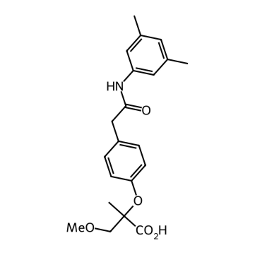 COCC(C)(Oc1ccc(CC(=O)Nc2cc(C)cc(C)c2)cc1)C(=O)O